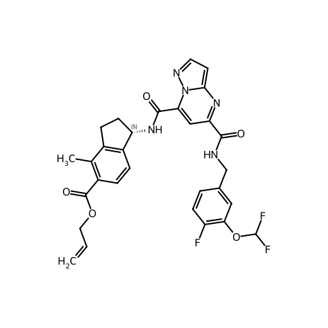 C=CCOC(=O)c1ccc2c(c1C)CC[C@@H]2NC(=O)c1cc(C(=O)NCc2ccc(F)c(OC(F)F)c2)nc2ccnn12